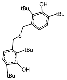 CC(C)(C)c1ccc(CSCc2ccc(C(C)(C)C)c(O)c2C(C)(C)C)c(C(C)(C)C)c1O